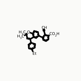 C#Cc1c(C(=O)O)cccc1-c1ccc2c(c1)C(c1ccc(CC)cc1)=CC(C)(C)O2